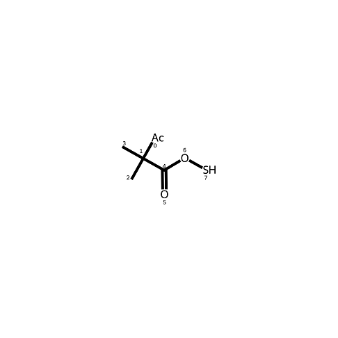 CC(=O)C(C)(C)C(=O)OS